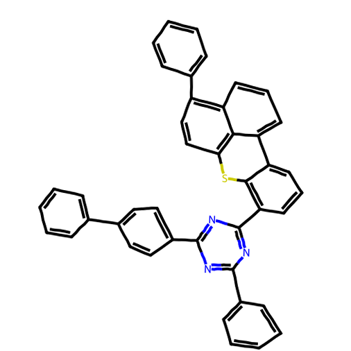 c1ccc(-c2ccc(-c3nc(-c4ccccc4)nc(-c4cccc5c4Sc4ccc(-c6ccccc6)c6cccc-5c46)n3)cc2)cc1